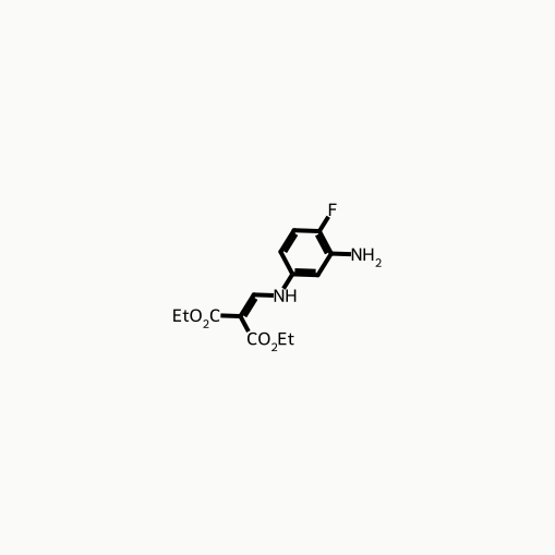 CCOC(=O)C(=CNc1ccc(F)c(N)c1)C(=O)OCC